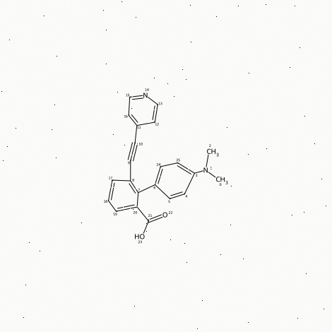 CN(C)c1ccc(-c2c(C#Cc3ccncc3)cccc2C(=O)O)cc1